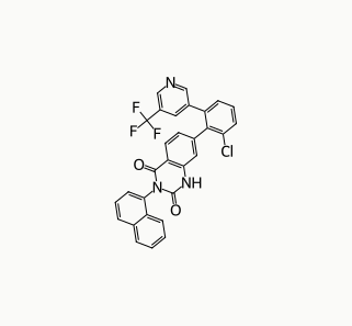 O=c1[nH]c2cc(-c3c(Cl)cccc3-c3cncc(C(F)(F)F)c3)ccc2c(=O)n1-c1cccc2ccccc12